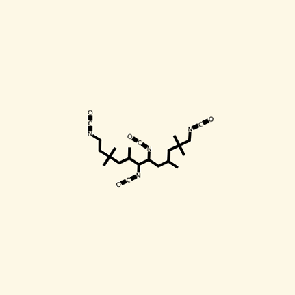 CC(CC(N=C=O)C(N=C=O)C(C)CC(C)(C)CCN=C=O)CC(C)(C)CN=C=O